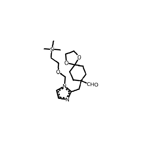 C[Si](C)(C)CCOCn1ccnc1CC1(C=O)CCC2(CC1)OCCO2